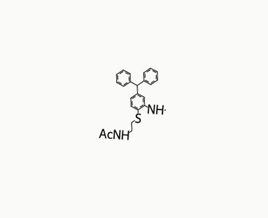 CC(=O)NCCSc1ccc(C(c2ccccc2)c2ccccc2)cc1[NH]